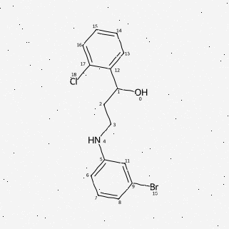 OC(CCNc1cccc(Br)c1)c1ccccc1Cl